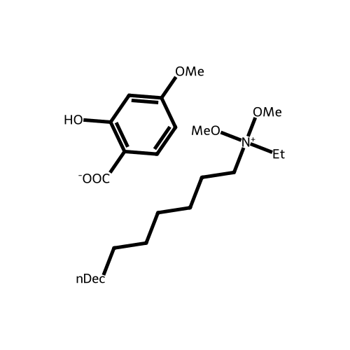 CCCCCCCCCCCCCCCC[N+](CC)(OC)OC.COc1ccc(C(=O)[O-])c(O)c1